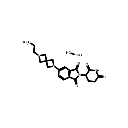 O=C(O)CCN1CC2(C1)CN(c1ccc3c(c1)C(=O)N(C1CCC(=O)NC1=O)C3=O)C2.O=CO